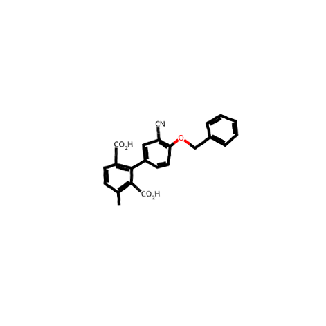 Cc1ccc(C(=O)O)c(-c2ccc(OCc3ccccc3)c(C#N)c2)c1C(=O)O